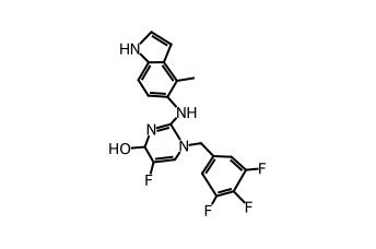 Cc1c(NC2=NC(O)C(F)=CN2Cc2cc(F)c(F)c(F)c2)ccc2[nH]ccc12